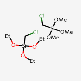 CCO[Si](CCl)(OCC)OCC.CO[Si](CCl)(OC)OC